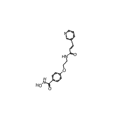 O=C(/C=C/c1cccnc1)NCCOc1ccc(C(=O)NO)cc1